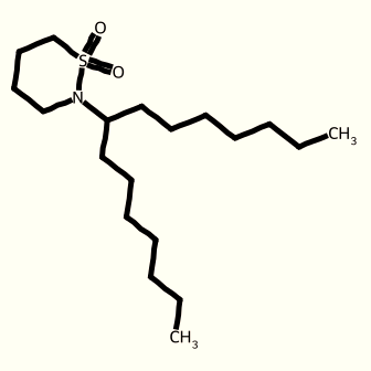 CCCCCCCC(CCCCCCC)N1CCCCS1(=O)=O